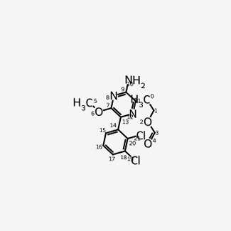 CCOC=O.COc1nc(N)cnc1-c1cccc(Cl)c1Cl